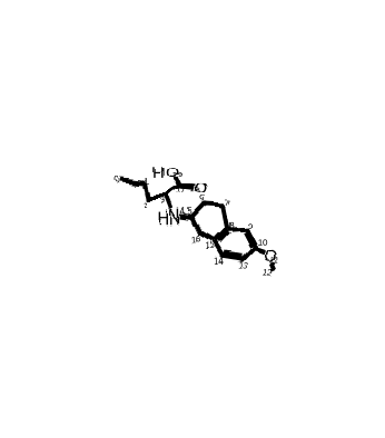 CCCC(NC1CCc2cc(OC)ccc2C1)C(=O)O